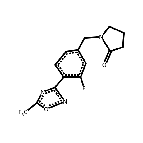 O=C1CCCN1Cc1ccc(-c2noc(C(F)(F)F)n2)c(F)c1